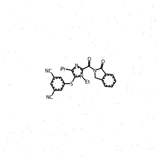 CCn1c(C(=O)N2Cc3ccccc3C2=O)nc(C(C)C)c1Sc1cc(C#N)cc(C#N)c1